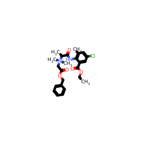 CCOC(=O)c1cc(Cl)cc(C)c1NC(=O)C(C)[N+](C)(C)CC(=O)OCc1ccccc1